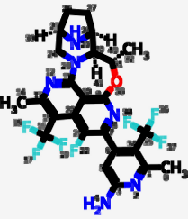 Cc1nc(N)cc(-c2nc3c4c(nc(C)c(C(F)(F)F)c4c2F)N2C[C@H]4CC[C@H](N4)[C@H]2[C@H](C)O3)c1C(F)(F)F